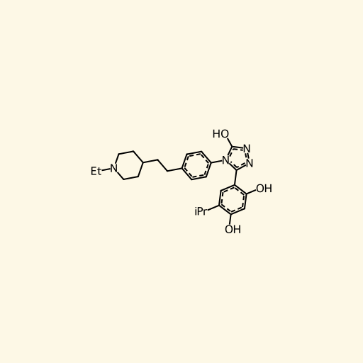 CCN1CCC(CCc2ccc(-n3c(O)nnc3-c3cc(C(C)C)c(O)cc3O)cc2)CC1